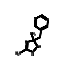 NC1=NC(N)(Cc2cncnc2)NN1